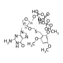 COc1cc(OC)c(CSCO[C@H]2[C@H](Cn3cnc4c(=O)[nH]c(N)nc43)CO[C@@H]2COP(=O)(O)OP(=O)(O)OP(=O)(O)O)c(OC)c1